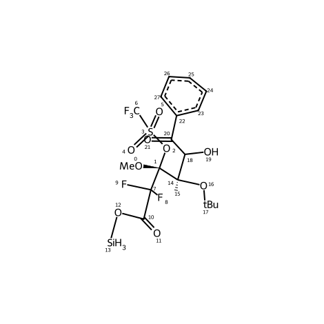 CO[C@](OS(=O)(=O)C(F)(F)F)(C(F)(F)C(=O)O[SiH3])[C@](C)(OC(C)(C)C)C(O)C(=O)c1ccccc1